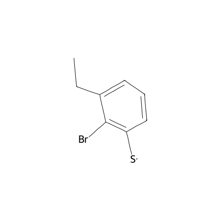 CCc1cccc([S])c1Br